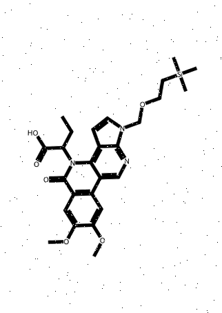 CCC(C(=O)O)n1c(=O)c2cc(OC)c(OC)cc2c2cnc3c(ccn3COCC[Si](C)(C)C)c21